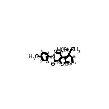 Cc1ccc(-n2nc(C)c3c(sc4nccc(N(C)C)c43)c2=O)cc1